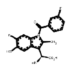 CCC[C@H](C(=O)O)c1c(C)n(C(=O)c2cccc(F)c2)c2cc(F)c(O)cc12